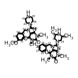 CC1CN(c2nc3c(c(=O)n(C)c(=O)n3C)n2Cc2ccccc2)CC(C)N1.COc1ccc(Cn2c(N3CCNCC3)nc3c2c(=O)n(C)c(=O)n3C)cc1